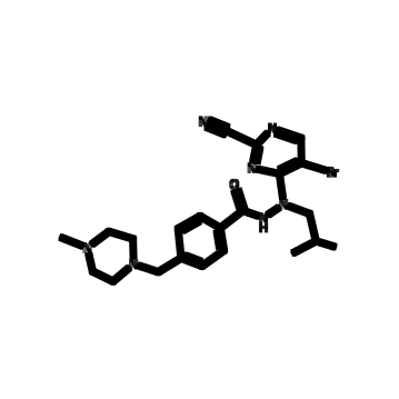 CC(C)CN(NC(=O)c1ccc(CN2CCN(C)CC2)cc1)c1nc(C#N)ncc1Br